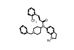 CC(=O)N1CCc2ccc(N(C(=O)C=Cc3ccccc3C(F)(F)F)C3CCN(Cc4ccccc4)CC3)cc21